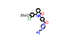 COc1ccc(C2=NN(c3ccc(C(=O)N4CCN(CCN(C)C)CC4)cc3)C(=O)C3CC=CCC23)cc1Cl